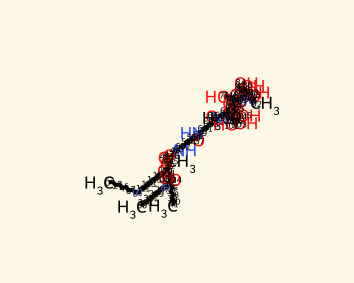 CCCCCCCC/C=C\CCCCCCCC(=O)O[C@H](COC(=O)C(/C=C/CCCCCCCC)CCCCCC)COP(C)(=O)OCCNCCCCCC(=O)NCCCCCC(=O)NCCCO[C@@H]1OC(CO)[C@H](O)[C@H](O[C@@H]2OC(CO)[C@H](O)[C@H](O)C2NC(C)=O)C1O[C@@H]1OC(C)[C@@H](O)[C@H](O)C1O